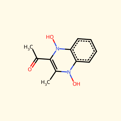 CC(=O)C1=C(C)N(O)c2ccccc2N1O